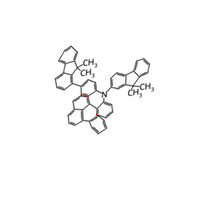 CC1(C)c2ccccc2-c2ccc(N(c3ccc(-c4cccc5c4C(C)(C)c4ccccc4-5)cc3)c3ccccc3-c3cccc4cccc(-c5ccccc5)c34)cc21